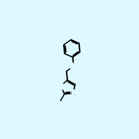 Cc1ncc(COc2cc[c]cc2)s1